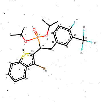 CC(C)OP(=O)(OC(C)C)[C@@H](Cc1ccc(F)c(C(F)(F)F)c1)c1sc2ccccc2c1Br